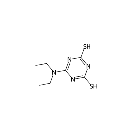 CCN(CC)c1nc(S)nc(S)n1